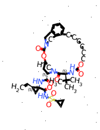 C=C[C@@H]1C[C@]1(NC(=O)[C@@H]1C[C@@H]2CN1C(=O)[C@H](C(C)(C)C)NC(=O)OCCCCCCc1cccc3c1CN(C3)C(=O)O2)C(=O)NS(=O)(=O)C1CC1